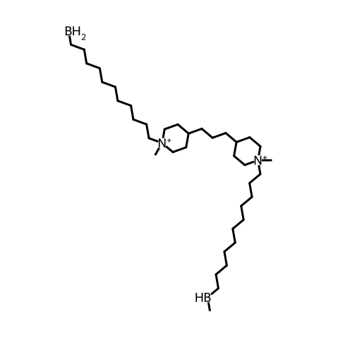 BCCCCCCCCCCC[N+]1(C)CCC(CCCC2CC[N+](C)(CCCCCCCCCCCBC)CC2)CC1